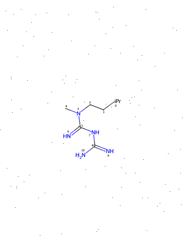 CC(C)CCN(C)C(=N)NC(=N)N